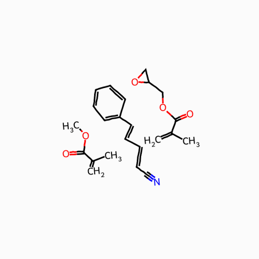 C=C(C)C(=O)OC.C=C(C)C(=O)OCC1CO1.N#CC=CC=Cc1ccccc1